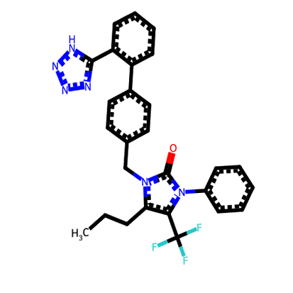 CCCc1c(C(F)(F)F)n(-c2ccccc2)c(=O)n1Cc1ccc(-c2ccccc2-c2nnn[nH]2)cc1